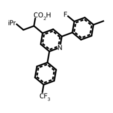 Cc1ccc(-c2cc(C(CC(C)C)C(=O)O)cc(-c3ccc(C(F)(F)F)cc3)n2)c(F)c1